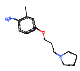 Cc1cc(OCCCN2CCCC2)ccc1N